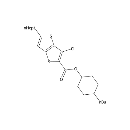 CCCCCCCc1cc2sc(C(=O)OC3CCC(CCCC)CC3)c(Cl)c2s1